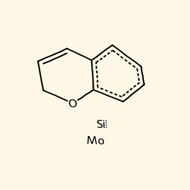 C1=Cc2ccccc2OC1.[Mo].[Si]